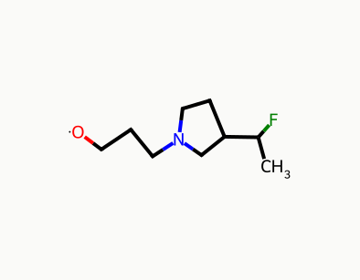 CC(F)C1CCN(CCC[O])C1